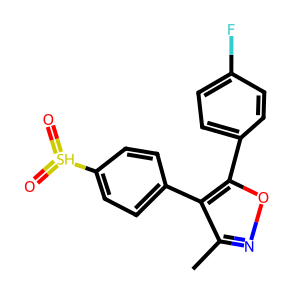 Cc1noc(-c2ccc(F)cc2)c1-c1ccc([SH](=O)=O)cc1